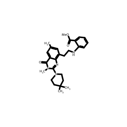 COC(=O)c1ccccc1NCCc1cc(C)cc2c(=O)n(C)c(N3CCC(C)(C)CC3)nc12